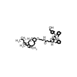 CC(C)CCC[C@@H](C)[C@H]1CC[C@H]2[C@@H](C)C/C=C3/C[C@@H](OCCCNC(=O)CCC(=O)N[C@@H](Cc4ccccc4)C(=O)N[C@@H](Cc4ccccc4)C(=O)Nc4ccc(CO)cc4)CC[C@]3(C)CCC[C@]12C